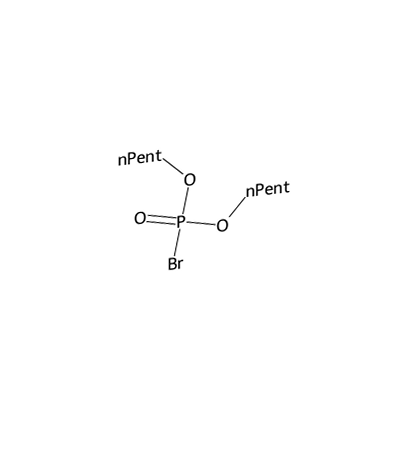 CCCCCOP(=O)(Br)OCCCCC